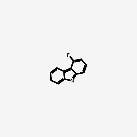 Fc1cccc2c1=C1C=CCC=C1N=2